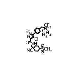 CCn1nc(C(=O)NC[C@]2(C#N)CC[C@H](S(C)(=O)=O)CC2)c(Cl)c1-c1ccc(CC(C)(C)C(F)(F)F)cc1